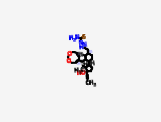 CC#C[C@]1(O)CC[C@H]2[C@@H]3CC/C(=C/C=N/NC(N)=S)C(CC)=C3[C@@H](C3=C/COCOC/C=C\3)C[C@@]21C